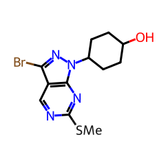 CSc1ncc2c(Br)nn(C3CCC(O)CC3)c2n1